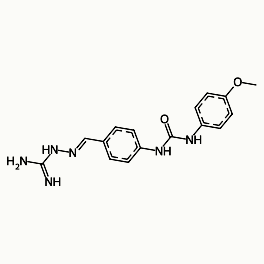 COc1ccc(NC(=O)Nc2ccc(/C=N/NC(=N)N)cc2)cc1